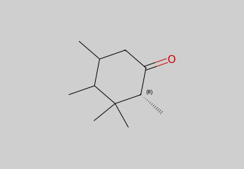 CC1CC(=O)[C@H](C)C(C)(C)C1C